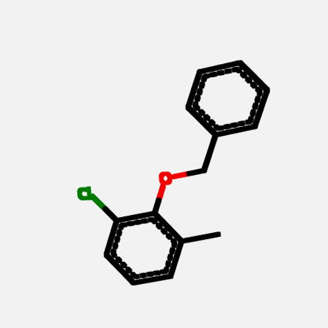 Cc1cccc(Cl)c1OCc1ccccc1